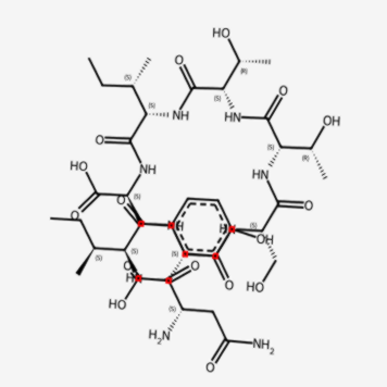 CC[C@H](C)[C@H](NC(=O)[C@@H](NC(=O)[C@@H](NC(=O)[C@H](CO)NC(=O)[C@H](CC(=O)O)NC(=O)[C@@H](NC(=O)[C@@H](N)CC(N)=O)[C@@H](C)CC)[C@@H](C)O)[C@@H](C)O)C(=O)N[C@@H](Cc1ccc(O)cc1)C(=O)O